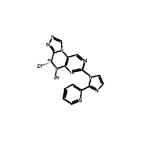 CC[C@@H]1c2nncn2-c2cnc(-n3ccnc3-c3ccccn3)nc2N1C(C)C